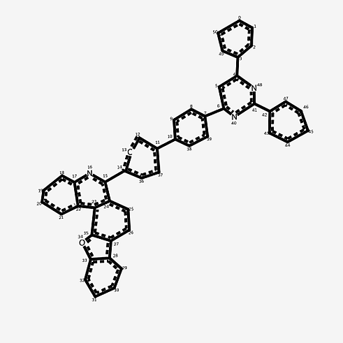 c1ccc(-c2cc(-c3ccc(-c4ccc(-c5nc6ccccc6c6c5ccc5c7ccccc7oc56)cc4)cc3)nc(-c3ccccc3)n2)cc1